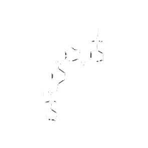 NS(=O)(=O)c1cccc(Nc2ncc(F)c(Nc3ccc(CNS(=O)(=O)c4cccs4)cc3)n2)c1